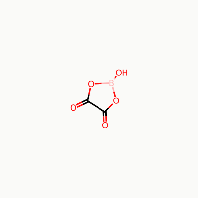 O=C1OB(O)OC1=O